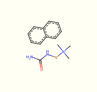 C[N+](C)(C)SNC(N)=O.c1ccc2ccccc2c1